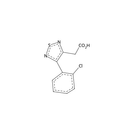 O=C(O)Cc1nsnc1-c1ccccc1Cl